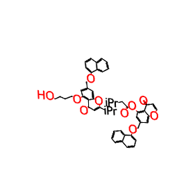 CC(C)CC(=O)Oc1cc(COc2cccc3ccccc23)cc2occc(=O)c12.CC(C)c1cc(=O)c2c(OCCCCO)cc(COc3cccc4ccccc34)cc2o1